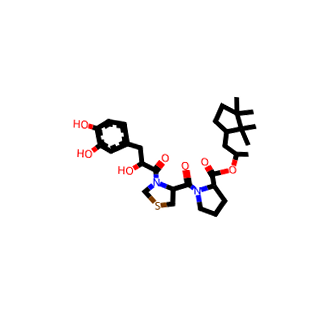 CC(CC1CCC(C)(C)C1(C)C)OC(=O)C1CCCN1C(=O)C1CSCN1C(=O)C(O)Cc1ccc(O)c(O)c1